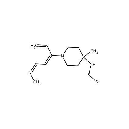 C=N/C(=C\C=N/C)N1CCC(C)(NSS)CC1